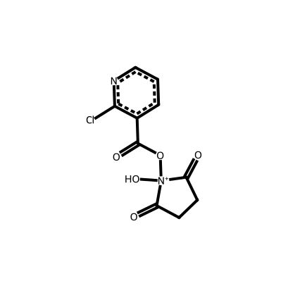 O=C(O[N+]1(O)C(=O)CCC1=O)c1cccnc1Cl